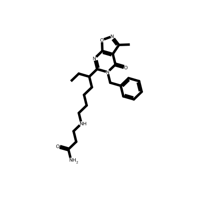 CCC(CCCCNCCC(N)=O)c1nc2onc(C)c2c(=O)n1Cc1ccccc1